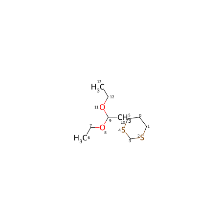 C1CSCSC1.CCOC(C)OCC